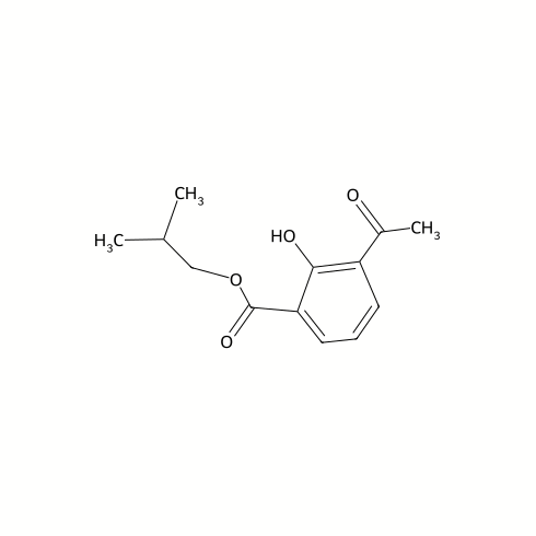 CC(=O)c1cccc(C(=O)OCC(C)C)c1O